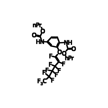 CCCOC(=O)Nc1ccc(NC(=O)OCCC)c(OC(F)=C(F)C(F)(F)C(F)(F)C(F)(F)C(F)(F)F)c1